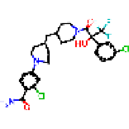 NC(=O)c1ccc(N2CCC(CC3CCN(C(=O)C(O)(c4cccc(Cl)c4)C(F)(F)F)CC3)CC2)cc1Cl